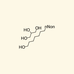 CCCCCCCCCCCCCCCCO.OCC(O)CO